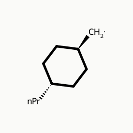 [CH2][C@H]1CC[C@H](CCC)CC1